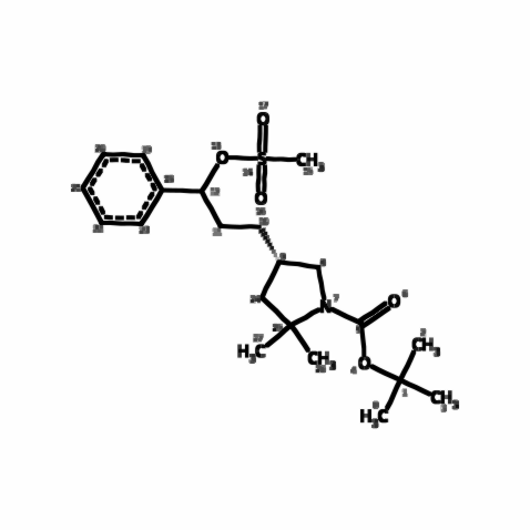 CC(C)(C)OC(=O)N1C[C@@H](CCC(OS(C)(=O)=O)c2ccccc2)CC1(C)C